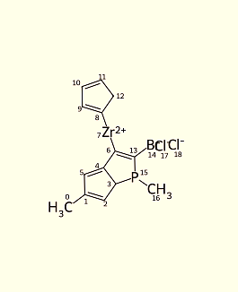 CC1=CC2C(=C1)[C]([Zr+2][C]1=CC=CC1)=C(Br)P2C.[Cl-].[Cl-]